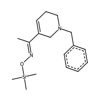 CC(=NO[Si](C)(C)C)C1=CCCN(Cc2ccccc2)C1